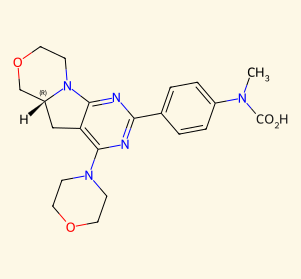 CN(C(=O)O)c1ccc(-c2nc(N3CCOCC3)c3c(n2)N2CCOC[C@H]2C3)cc1